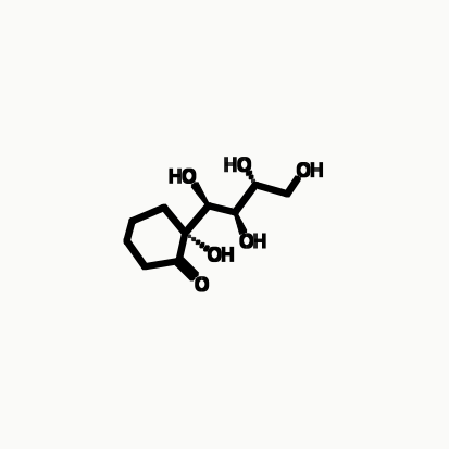 O=C1CCCC[C@@]1(O)[C@@H](O)[C@H](O)[C@H](O)CO